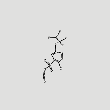 O=C=NS(=O)(=O)c1cc(SC(F)(F)C(F)F)ccc1Cl